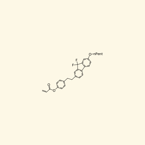 C=CC(=O)Oc1ccc(CCc2ccc3c(c2)C(F)(F)c2cc(OCCCCC)ccc2-3)cc1